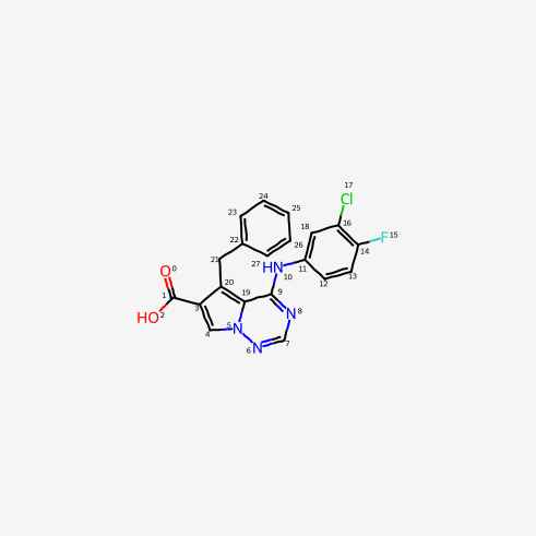 O=C(O)c1cn2ncnc(Nc3ccc(F)c(Cl)c3)c2c1Cc1ccccc1